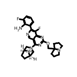 Nc1c(F)cccc1-c1ncc2c(N3C[C@H]4CC[C@@H](C3)N4)nc(OCC34CCCN3CCC4)nc2c1F